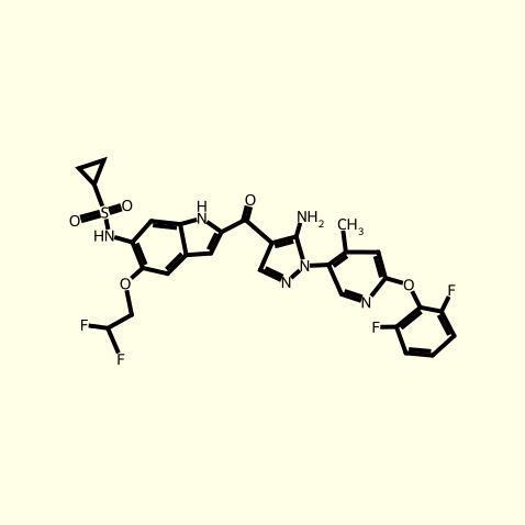 Cc1cc(Oc2c(F)cccc2F)ncc1-n1ncc(C(=O)c2cc3cc(OCC(F)F)c(NS(=O)(=O)C4CC4)cc3[nH]2)c1N